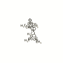 C=C1/C(=C\C=C2/CCC[C@]3(C)[C@@H]([C@H](C)C(C(O)CC(C)C)S(=O)(=O)c4ccccc4)CC[C@@H]23)C[C@@H](OC(=O)OC)C[C@@H]1OC(=O)OC